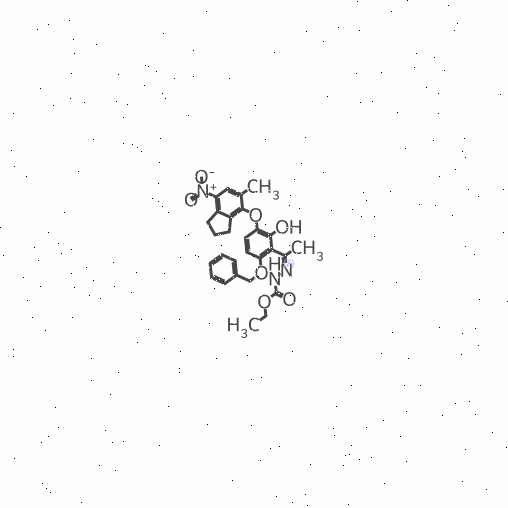 CCOC(=O)N/N=C(/C)c1c(OCc2ccccc2)ccc(Oc2c(C)cc([N+](=O)[O-])c3c2CCC3)c1O